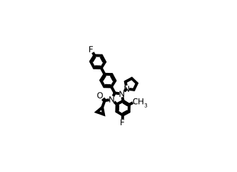 Cc1cc(F)cc2c1N(N1CCCC1)C(c1ccc(-c3ccc(F)cc3)cc1)N2C(=O)C1CC1